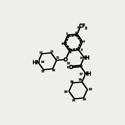 O=C(Nc1cc(C(F)(F)F)ccc1OC1CCNCC1)NC1CCCCC1